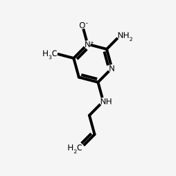 C=CCNc1cc(C)[n+]([O-])c(N)n1